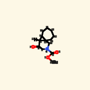 CC(C)(C)OC(=O)N1CC(=O)[C@@H]2C3CCCCCC32C1